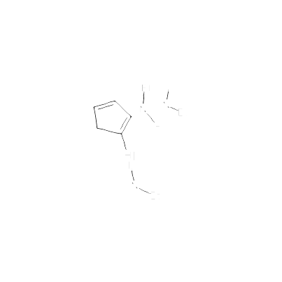 CC[N-]CC.CC[N-]CC.CC[N-]CC.[Hf+3][C]1=CC=CC1